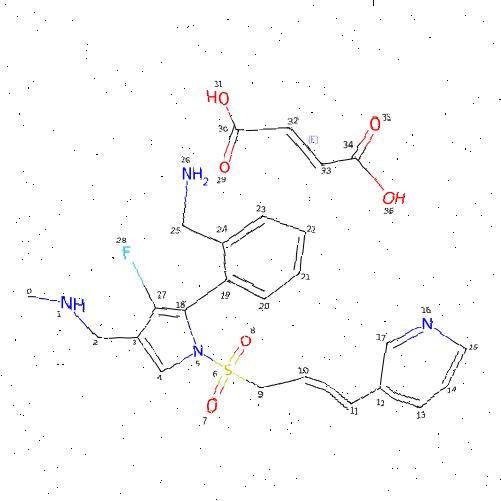 CNCc1cn(S(=O)(=O)CC=Cc2cccnc2)c(-c2ccccc2CN)c1F.O=C(O)/C=C/C(=O)O